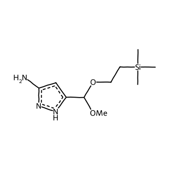 COC(OCC[Si](C)(C)C)c1cc(N)n[nH]1